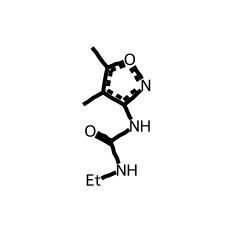 CCNC(=O)Nc1noc(C)c1C